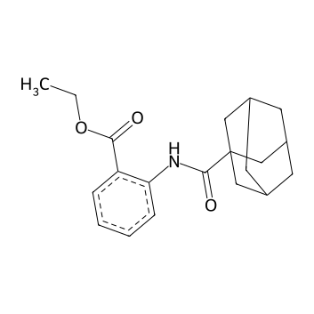 CCOC(=O)c1ccccc1NC(=O)C12CC3CC(CC(C3)C1)C2